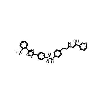 Cc1ccccc1-c1nc(-c2ccc(S(=O)(=O)Nc3ccc(CCNCC(O)c4cccnc4)cc3)cc2)no1